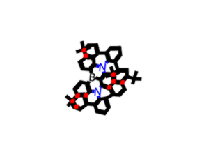 CC(C)(C)c1cccc(-c2cccc(-c3ccccc3)c2N2c3cc(C(C)(C)C)ccc3B3c4ccc(C(C)(C)C)cc4N(c4c(-c5ccccc5)cccc4-c4cccc(C(C)(C)C)c4)c4cccc2c43)c1